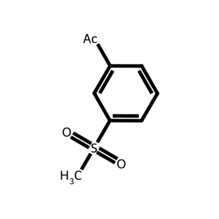 [CH2]C(=O)c1cccc(S(C)(=O)=O)c1